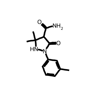 Cc1cccc(N2NC(C)(C)C(C(N)=O)C2=O)c1